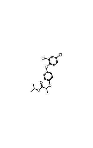 CC(C)OC(=O)C(C)Oc1ccc(Oc2ccc(Cl)cc2Cl)cc1